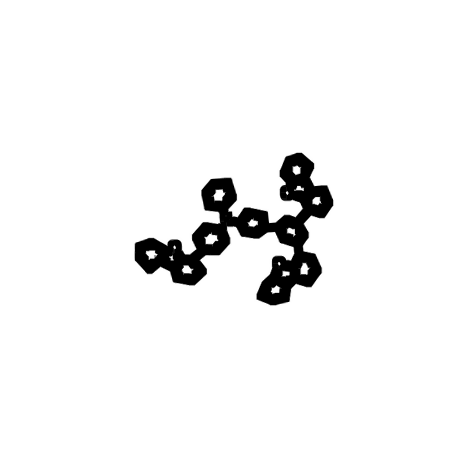 c1ccc(N(c2ccc(-c3cc(-c4cccc5c4oc4ccccc45)cc(-c4cccc5c4oc4ccccc45)c3)cc2)c2ccc(-c3cccc4c3oc3ccccc34)cc2)cc1